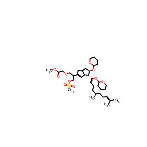 COC(=O)COCC(COS(C)(=O)=O)C1=CC2C(C1)C[C@@H](OC1CCCCO1)[C@@H]2C(=CCC[C@H](C)CCC=C(C)C)OC1CCCCO1